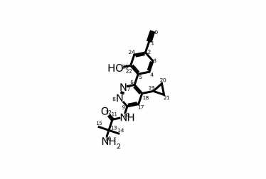 C#Cc1ccc(-c2nnc(NC(=O)C(C)(C)N)cc2C2CC2)c(O)c1